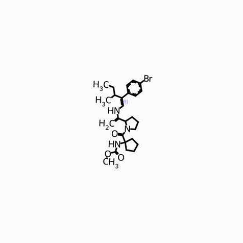 C=C(N/C=C(/c1ccc(Br)cc1)C(C)CC)C1CCCN1C(=O)C1(NC(=O)OC)CCCC1